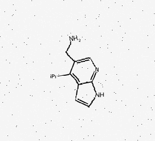 CC(C)c1c(CN)cnc2[nH]ccc12